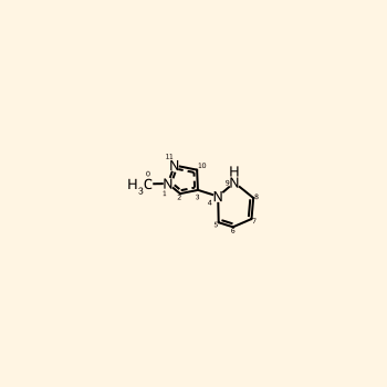 Cn1cc(N2C=CC=CN2)cn1